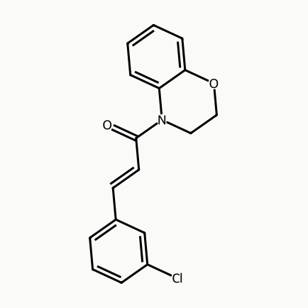 O=C(C=Cc1cccc(Cl)c1)N1CCOc2ccccc21